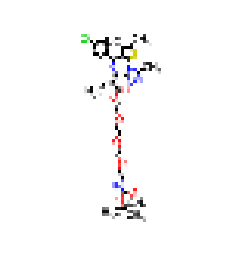 CC[C@@H](C(=O)OCCOCCOCCOCCNC(=O)OC(C)(C)C)[C@@H]1N=C(c2ccc(Cl)cc2)c2c(sc(C)c2C)-n2c(C)nnc21